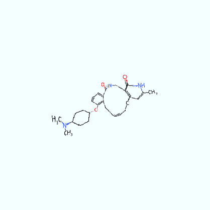 Cc1cc2c(c(=O)[nH]1)CNC(=O)c1cccc(O[C@H]3CC[C@H](N(C)C)CC3)c1CC=CCC2